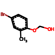 Cc1cc(Br)ccc1OCO